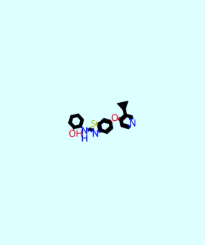 O[C@@H]1CCCC[C@H]1Nc1nc2ccc(Oc3ccncc3C3CC3)cc2s1